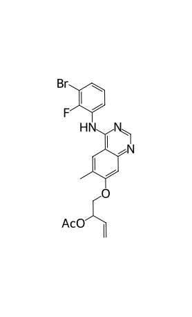 C=CC(COc1cc2ncnc(Nc3cccc(Br)c3F)c2cc1C)OC(C)=O